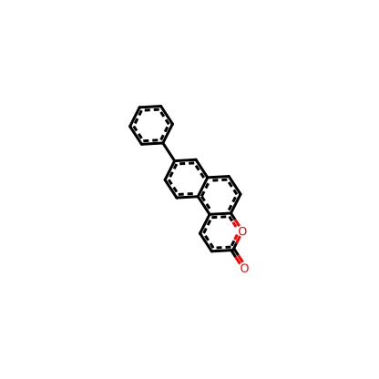 O=c1ccc2c(ccc3cc(-c4ccccc4)ccc32)o1